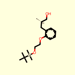 C[C@H](CO)Cc1ccccc1OCCO[Si](C)(C)C(C)(C)C